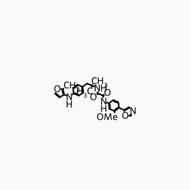 COc1cc(NC(=O)C(=O)NC(C)(C)Cc2ccc(Nc3ccoc3C)cc2)ccc1-c1cnco1